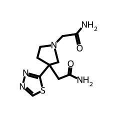 NC(=O)CN1CCC(CC(N)=O)(c2nncs2)C1